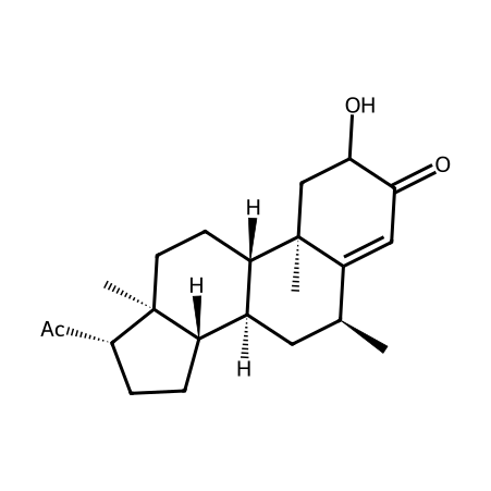 CC(=O)[C@H]1CC[C@H]2[C@@H]3C[C@H](C)C4=CC(=O)C(O)C[C@]4(C)[C@H]3CC[C@]12C